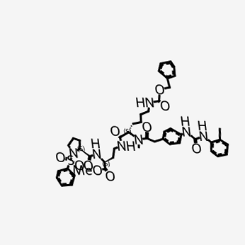 COC(=O)[C@H](CCNC(=O)[C@H](CCCCNC(=O)OCc1ccccc1)N(C)C(=O)Cc1ccc(NC(=O)Nc2ccccc2C)cc1)NC(=O)[C@@H]1CCCN1S(=O)(=O)c1ccccc1